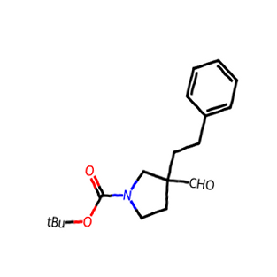 CC(C)(C)OC(=O)N1CCC(C=O)(CCc2ccccc2)C1